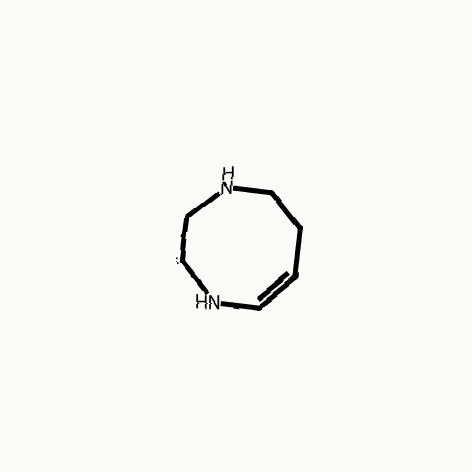 [C]1CNCC/C=C\N1